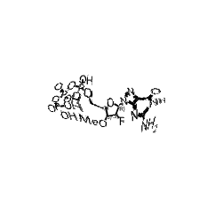 CO[C@@H]1[C@H](F)[C@H](n2cnc3c(=O)[nH]c(N)nc32)O[C@@H]1COP(=O)(O)OP(=O)(O)OP(=O)(O)O